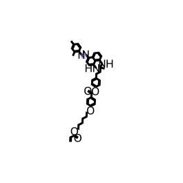 C=CC(=O)OCCCCCCOc1ccc(C(=O)Oc2ccc(CCC3(C)Nc4cccc5c(/N=N/c6ccc(C)cc6C)ccc(c45)N3)cc2)cc1